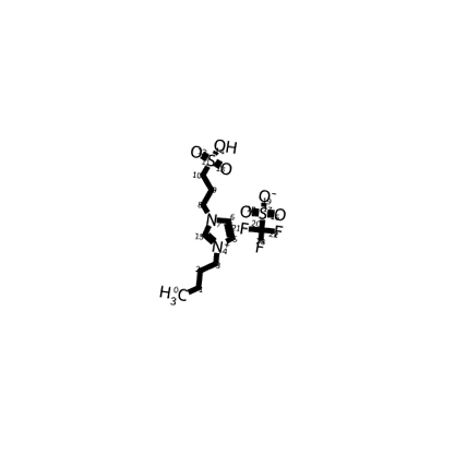 CCCC[n+]1ccn(CCCS(=O)(=O)O)c1.O=S(=O)([O-])C(F)(F)F